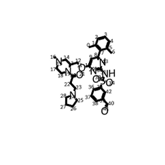 Cc1cccc(C)c1-c1cc(OCC2CN(C)CCN2C(=O)CCN2CCCC2)nc(NS(=O)(=O)c2cccc(C=O)c2)n1